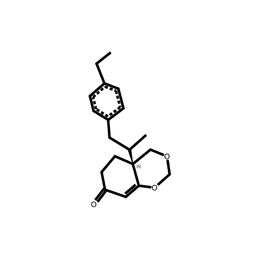 CCc1ccc(CC(C)[C@]23CCC(=O)C=C2OCOC3)cc1